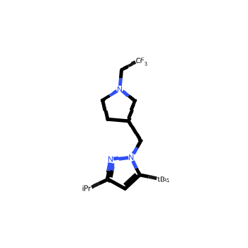 CC(C)c1cc(C(C)(C)C)n(CC2CCN(CC(F)(F)F)C2)n1